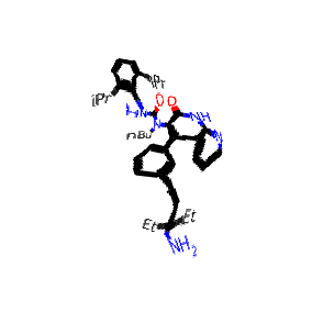 CCCCN(C(=O)Nc1c(C(C)C)cccc1C(C)C)c1c(-c2cccc(C#CC(N)(CC)CC)c2)c2cccnc2[nH]c1=O